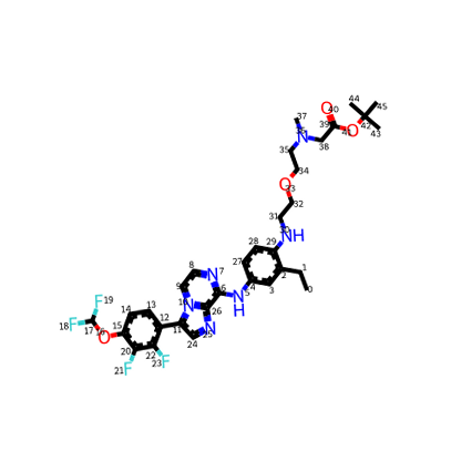 CCc1cc(Nc2nccn3c(-c4ccc(OC(F)F)c(F)c4F)cnc23)ccc1NCCOCCN(C)CC(=O)OC(C)(C)C